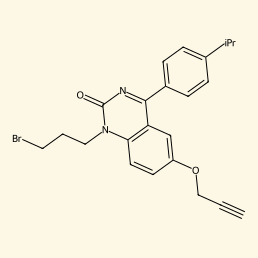 C#CCOc1ccc2c(c1)c(-c1ccc(C(C)C)cc1)nc(=O)n2CCCBr